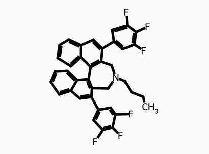 CCCCN1Cc2c(-c3cc(F)c(F)c(F)c3)cc3ccccc3c2-c2c(c(-c3cc(F)c(F)c(F)c3)cc3ccccc23)C1